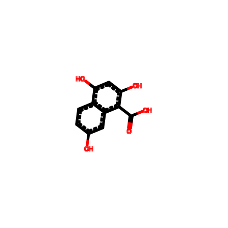 O=C(O)c1c(O)cc(O)c2ccc(O)cc12